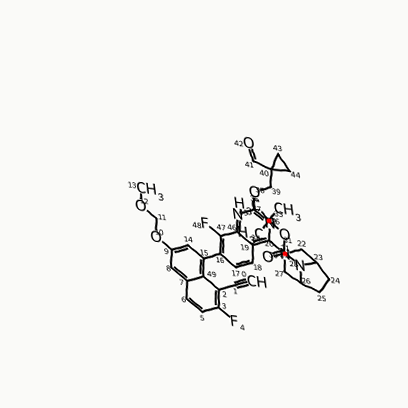 C#Cc1c(F)ccc2cc(OCOC)cc(-c3ccc4c(N5CC6CCC(C5)N6C(=O)OC(C)(C)C)nc(OCC5(C=O)CC5)nc4c3F)c12